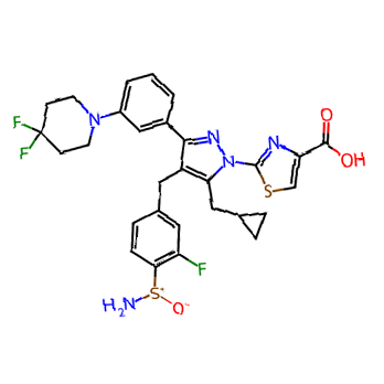 N[S+]([O-])c1ccc(Cc2c(-c3cccc(N4CCC(F)(F)CC4)c3)nn(-c3nc(C(=O)O)cs3)c2CC2CC2)cc1F